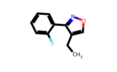 CCc1conc1-c1ccccc1F